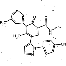 [CH2]CCNC(=O)c1cc(-c2ccnn2-c2ccc(C#N)cc2)c(C)n(-c2cccc(C(F)(F)F)c2)c1=O